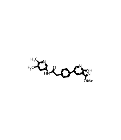 COc1n[nH]c2ncc(-c3ccc(CC(=O)Nc4cnc(C)c(C(F)(F)F)c4)cc3)cc12